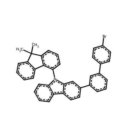 CC1(C)c2ccccc2-c2c(-n3c4ccccc4c4ccc(-c5cccc(-c6ccc(Br)cc6)c5)cc43)cccc21